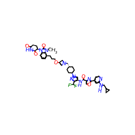 Cn1c(=O)n(C2CCC(=O)NC2=O)c2cccc(CCCOC3CN(C[C@H]4CC[C@H](n5cc(NC(=O)c6coc(-c7ccnc(NCC8CC8)c7)n6)c(C(F)F)n5)CC4)C3)c21